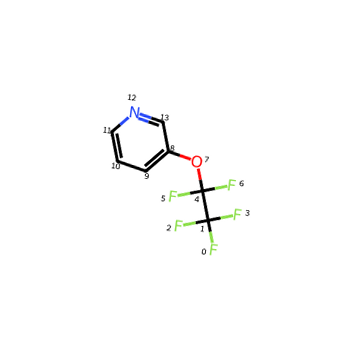 FC(F)(F)C(F)(F)Oc1cc[c]nc1